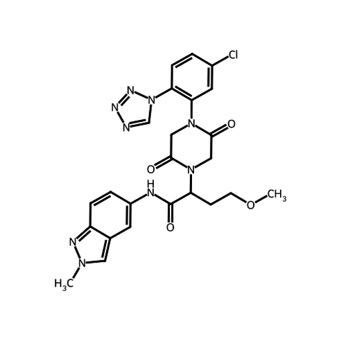 COCCC(C(=O)Nc1ccc2nn(C)cc2c1)N1CC(=O)N(c2cc(Cl)ccc2-n2cnnn2)CC1=O